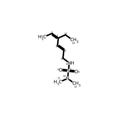 CC=C(C=CCNS(=O)(=O)N(C)C)CC